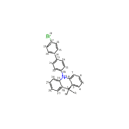 CC1(C)c2ccccc2N(c2ccc(-c3ccc(Br)cc3)cc2)c2ccccc21